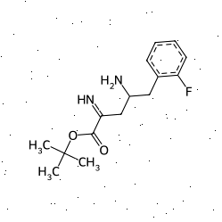 CC(C)(C)OC(=O)C(=N)CC(N)Cc1ccccc1F